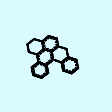 c1ccc2c(c1)Cc1ccc3c4c(c5ccccc5c-2c14)CCC3